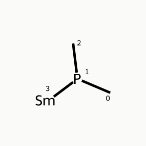 C[P](C)[Sm]